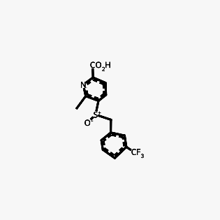 Cc1nc(C(=O)O)ccc1[S+]([O-])Cc1cccc(C(F)(F)F)c1